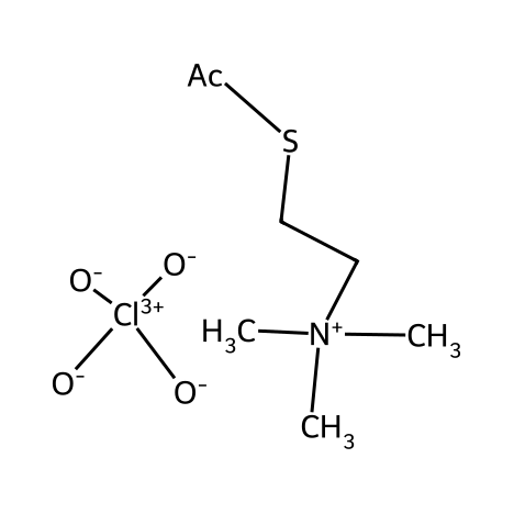 CC(=O)SCC[N+](C)(C)C.[O-][Cl+3]([O-])([O-])[O-]